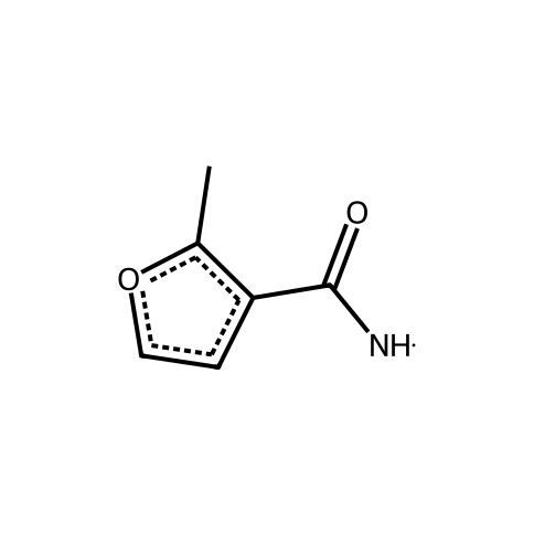 Cc1occc1C([NH])=O